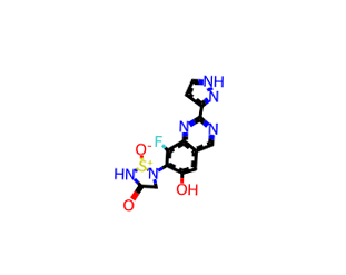 O=C1CN(c2c(O)cc3cnc(-c4cc[nH]n4)nc3c2F)[S+]([O-])N1